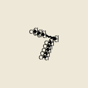 CCCCCCC(Cl)(Cl)Cl.ClC(Cl)Cl.ClC(Cl)Cl.ClC(Cl)Cl.ClC(Cl)Cl.ClC(Cl)Cl.ClC(Cl)Cl.ClC(Cl)Cl.ClC(Cl)Cl